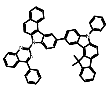 CC1(C)c2ccccc2-c2ccc3c(c21)c1cc(-c2ccc4c(c2)c2c5ccccc5ccc2n4-c2nc(-c4ccccc4)c4ccccc4n2)ccc1n3-c1ccccc1